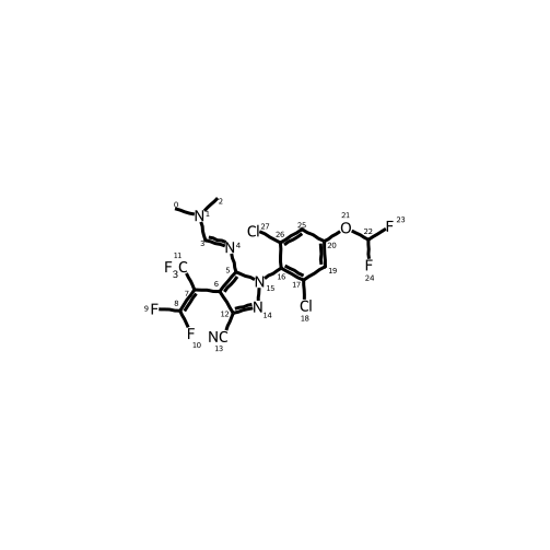 CN(C)C=Nc1c(C(=C(F)F)C(F)(F)F)c(C#N)nn1-c1c(Cl)cc(OC(F)F)cc1Cl